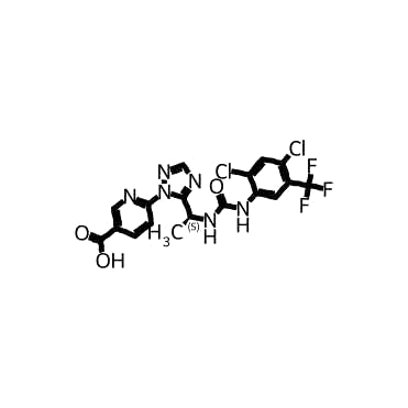 C[C@H](NC(=O)Nc1cc(C(F)(F)F)c(Cl)cc1Cl)c1ncnn1-c1ccc(C(=O)O)cn1